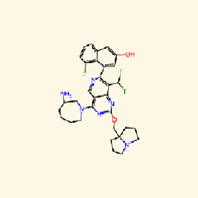 NC1CCCCN(c2nc(OCC34CCCN3CCC4)nc3c(C(F)F)c(-c4cc(O)cc5cccc(F)c45)ncc23)C1